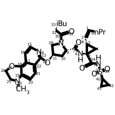 CCC/C=C\[C@@H]1C[C@]1(NC(=O)[C@@H]1C[C@@H](Oc2nccc3c4c(ccc23)N(C)CCO4)CN1C(=O)C[C@@H](C)CC)C(=O)NS(=O)(=O)C1CC1